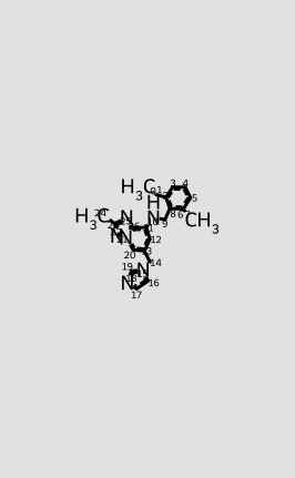 CCc1cccc(C)c1CNc1cc(Cn2ccnc2)cn2nc(C)nc12